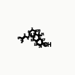 CC(C)=CCN1CCCC2C1Cc1ccc(O)cc1C2(C)C